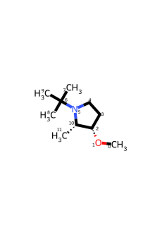 CO[C@H]1CCN(C(C)(C)C)[C@H]1C